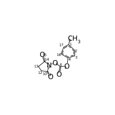 Cc1ccc(OC(=O)ON2C(=O)CCC2=O)cc1